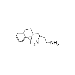 NCCC(N)CC1CCc2ccccc2O1